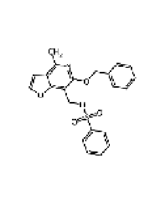 Cc1nc(OCc2ccccc2)c(COS(=O)(=O)c2ccccc2)c2occc12